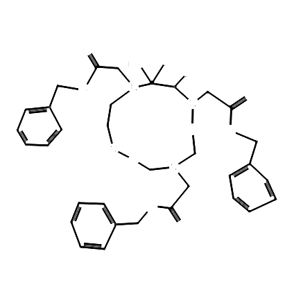 CC(C)C1N(CC(=O)OCc2ccccc2)CCN(CC(=O)OCc2ccccc2)CCNCCN(CC(=O)OCc2ccccc2)C1(C(C)C)C(C)C